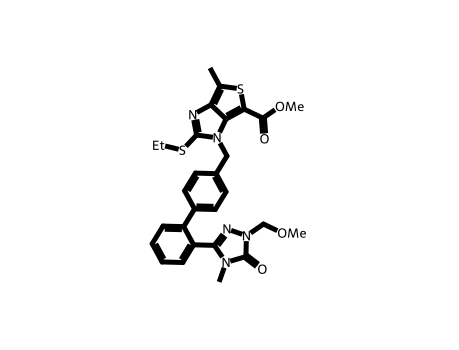 CCSc1nc2c(C)sc(C(=O)OC)c2n1Cc1ccc(-c2ccccc2-c2nn(COC)c(=O)n2C)cc1